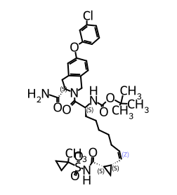 CC(C)(C)OC(=O)N[C@@H](CCCCC/C=C\[C@@H]1C[C@@H]1C(=O)NS(=O)(=O)C1(C)CC1)C(=O)N1Cc2ccc(Oc3cccc(Cl)c3)cc2C[C@H]1C(N)=O